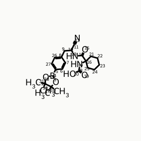 CC1(C)OB(c2ccc(CC(C#N)NC(=O)C3(NC(=O)O)CCCCC3)cc2)OC1(C)C